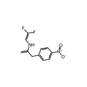 C=C(Cc1ccc([N+](=O)[O-])cc1)NC=C(F)F